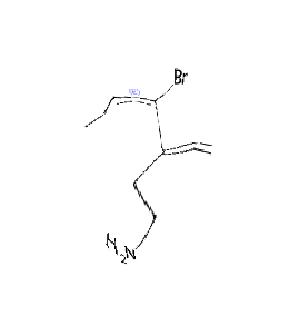 C=C(CCN)/C(Br)=C\C